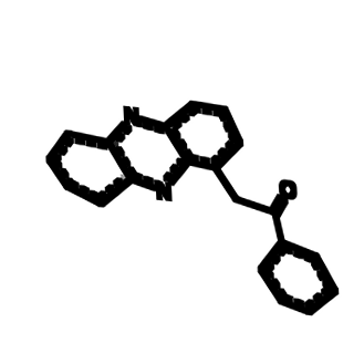 O=C(Cc1cccc2nc3ccccc3nc12)c1ccccc1